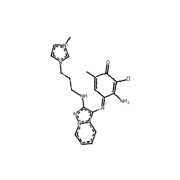 CC1=C/C(=N\c2c(NCCCn3cc[n+](C)c3)nn3ccccc23)C(N)=C(Cl)C1=O